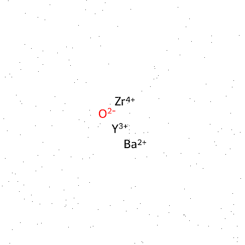 [Ba+2].[O-2].[Y+3].[Zr+4]